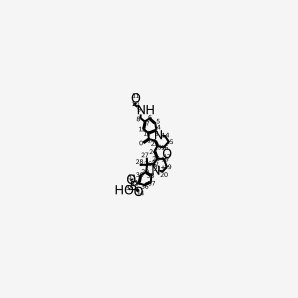 C=c1c2n(c3ccc(CNC=O)cc13)CCC1OC3CC[N+]4=C(C3=CC=21)C(C)(C)c1cc(S(=O)(=O)O)ccc14